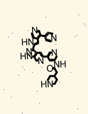 O=C(CC1CCNCC1)Nc1cncc(-c2cc3c(-c4cc5c(-c6ccncc6)cncc5[nH]4)n[nH]c3cn2)c1